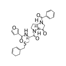 O=C(N[C@@H](CSCC1=CC=CCC1)C(=O)N1CC[C@@H]2[C@H]1C(=O)CN2C(=O)c1ccccc1)c1ccoc1